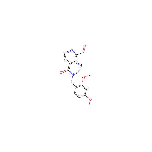 COc1ccc(Cn2cnc3c(C=O)nccc3c2=O)c(OC)c1